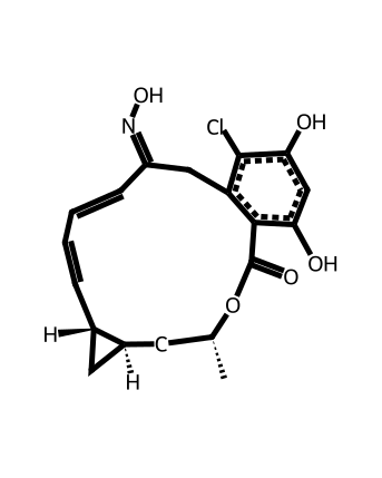 C[C@@H]1C[C@H]2C[C@@H]2/C=C\C=C\C(=NO)Cc2c(Cl)c(O)cc(O)c2C(=O)O1